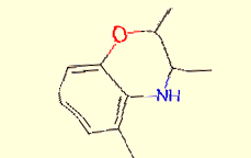 Cc1cccc2c1NC(C)C(C)O2